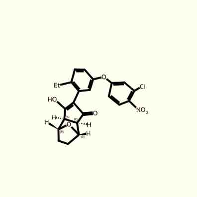 CCc1ccc(Oc2ccc([N+](=O)[O-])c(Cl)c2)cc1C1=C(O)[C@H]2[C@@H](C1=O)[C@@H]1CC[C@H]2O1